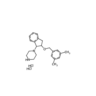 Cc1cc(C)cc(COC2Cc3ccccc3C2N2CCNCC2)c1.Cl.Cl